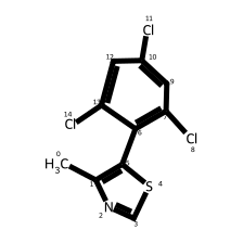 Cc1ncsc1-c1c(Cl)cc(Cl)cc1Cl